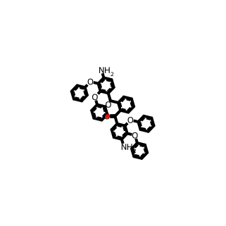 Nc1ccc(C(=O)c2ccccc2C(=O)c2ccc(N)c(Oc3ccccc3)c2Oc2ccccc2)c(Oc2ccccc2)c1Oc1ccccc1